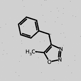 Cc1onnc1[CH]c1ccccc1